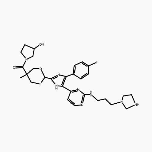 CC1(C(=O)N2CCC(O)C2)COC(c2nc(-c3ccc(F)cc3)c(-c3ccnc(NCCCN4CCNC4)n3)[nH]2)OC1